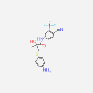 CC(O)(CSc1ccc(N)cc1)C(=O)Nc1ccc(C#N)c(C(F)(F)F)c1